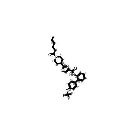 C/C=C/CCC(=O)N1CCC(c2nc(C(=O)Nc3ccccc3-c3ccc(OC(F)(F)F)cc3)cs2)CC1